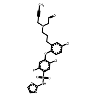 CC#CCN(CC=O)CCCc1cc(Cl)ccc1Oc1cc(F)c(S(=O)(=O)Nc2nccs2)cc1Cl